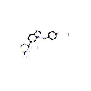 COc1ccc(Cn2ccc3ccc([C@]4(C)CCSC(N)=N4)cc32)cc1